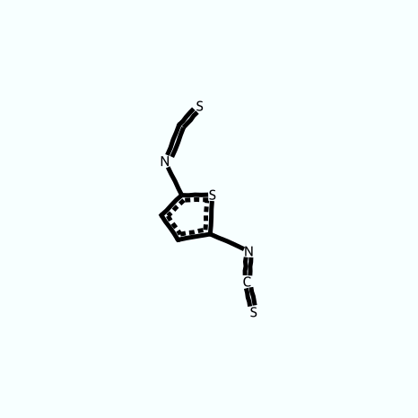 S=C=Nc1ccc(N=C=S)s1